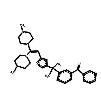 CN1CCN(C(=Nc2cc(C(C)(C)c3cccc(C(=O)c4ccccc4)c3)no2)N2CCN(C)CC2)CC1